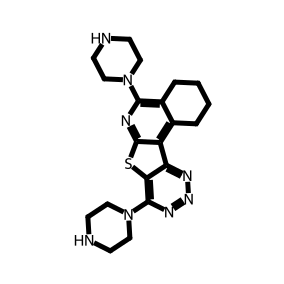 C1CCc2c(c(N3CCNCC3)nc3sc4c(N5CCNCC5)nnnc4c23)C1